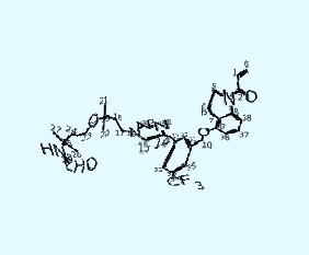 C=CC(=O)N1CCc2c(OCc3cc(-c4cn(CCC(C)(C)OCCC(C)(C)NC=O)nn4)cc(C(F)(F)F)c3)cccc21